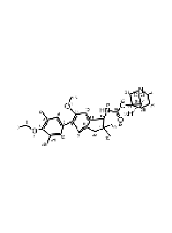 CCOc1c(C)cc(-c2cc3c(cc2OC)C(NC(=O)O[C@H]2CN4CCC2CC4)C(C)(C)C3)cc1C